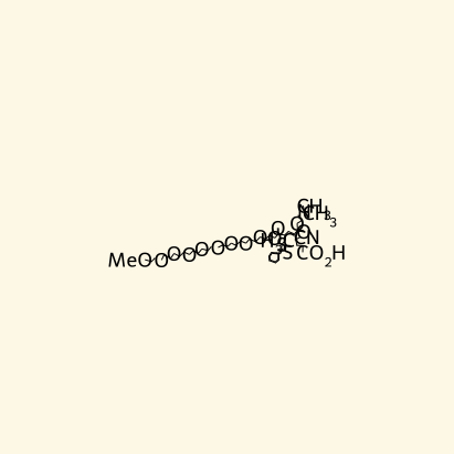 COCCOCCOCCOCCOCCOCCOCCOCCOCCOC(=O)C(CSC(=S)c1ccccc1)CC(C(=O)OCCN(C)C)C(C)(C#N)CCC(=O)O